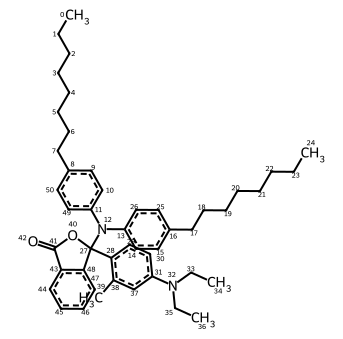 CCCCCCCCc1ccc(N(c2ccc(CCCCCCCC)cc2)C2(c3ccc(N(CC)CC)cc3C)OC(=O)c3ccccc32)cc1